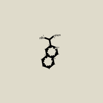 CCCCCCC(CCCC)c1cc2ccccc2cn1